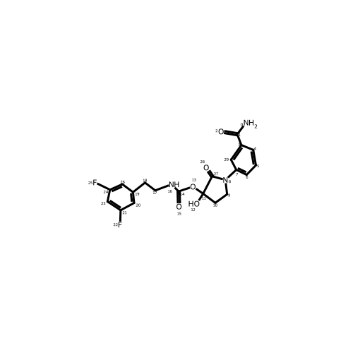 NC(=O)c1cccc(N2CCC(O)(OC(=O)NCCc3cc(F)cc(F)c3)C2=O)c1